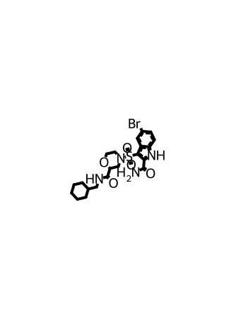 NC(=O)c1[nH]c2ccc(Br)cc2c1S(=O)(=O)N1CCOC(C(=O)NCC2CCCCC2)C1